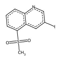 CS(=O)(=O)c1cccc2ncc(I)cc12